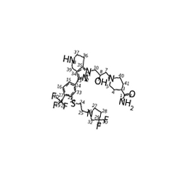 NC(=O)C1CCN(CC(O)Cn2nc(-c3ccc(C(F)(F)F)c(SCCN4CCC(F)(F)C4)c3)c3c2CCNC3)CC1